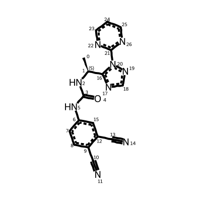 C[C@H](NC(=O)Nc1ccc(C#N)c(C#N)c1)c1ncnn1-c1ncccn1